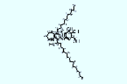 CCCCCCCCCCCCCCC[C@@H](O)[C@H](COC1OC(CO)C(O)C(O)C1O)C1=C(C(N)CCCCCCCCCCC)CCCCN1